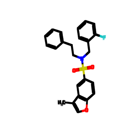 Cc1coc2ccc(S(=O)(=O)N(CCc3ccccc3)Cc3ccccc3F)cc12